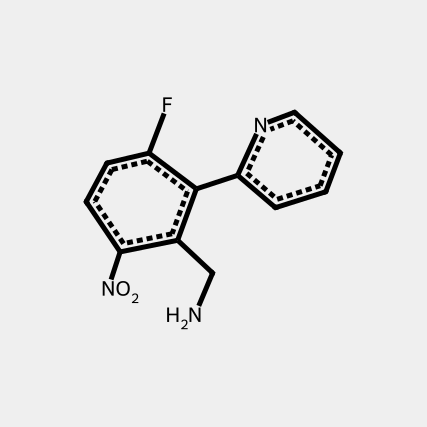 NCc1c([N+](=O)[O-])ccc(F)c1-c1ccccn1